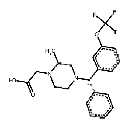 CC1CN([C@@H](c2ccccc2)c2cccc(OC(F)(F)F)c2)CCN1CC(=O)O